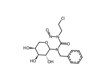 O=NN(CCCl)C(=O)N(Cc1ccccc1)C1OC[C@H](O)[C@H](O)[C@H]1O